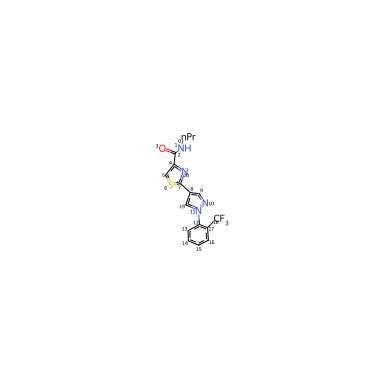 CCCNC(=O)c1csc(-c2cnn(-c3ccccc3C(F)(F)F)c2)n1